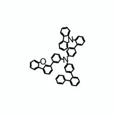 c1ccc(-c2ccccc2-c2ccc(N(c3ccc(-c4ccccc4-n4c5ccccc5c5ccccc54)cc3)c3cccc(-c4cccc5c4oc4ccccc45)c3)cc2)cc1